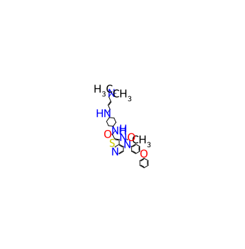 Cc1cc(Oc2ccccc2)ccc1N1C(=O)Nc2c(C(=O)N[C@H]3CC[C@@H](NC/C=C/CN(C)C)CC3)sc3nccc1c23